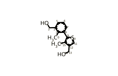 Cc1c(CO)cccc1-c1scc(CO)c1C